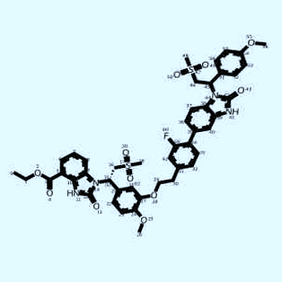 CCOC(=O)c1cccc2c1[nH]c(=O)n2[C@H](CS(C)(=O)=O)c1ccc(OC)c(OCCc2ccc(-c3ccc4c(c3)[nH]c(=O)n4C(CS(C)(=O)=O)c3ccc(OC)cc3)c(F)c2)c1